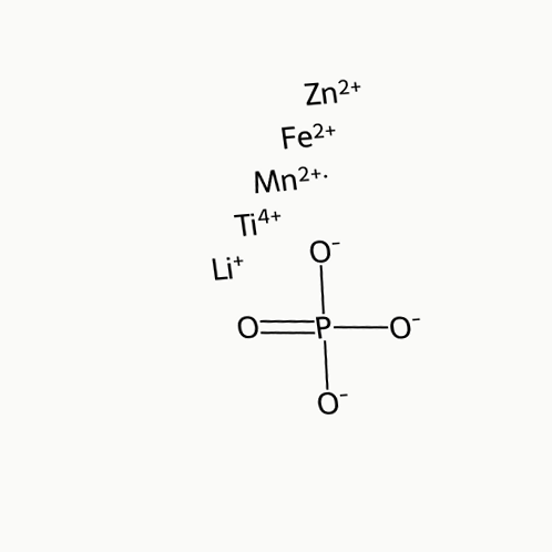 O=P([O-])([O-])[O-].[Fe+2].[Li+].[Mn+2].[Ti+4].[Zn+2]